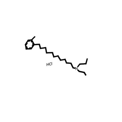 CCCN(CCC)CCCCCCCCCCCCc1ccccc1C.Cl